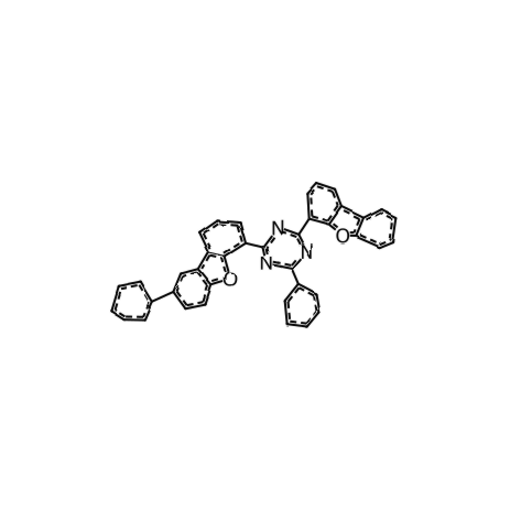 c1ccc(-c2ccc3oc4c(-c5nc(-c6ccccc6)nc(-c6cccc7c6oc6ccccc67)n5)cccc4c3c2)cc1